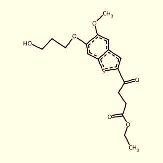 CCOC(=O)CCC(=O)c1cc2cc(OC)c(OCCCO)cc2s1